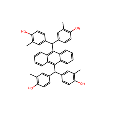 Cc1cc(C(c2ccc(O)c(C)c2)c2c3ccccc3c(C(c3ccc(O)c(C)c3)c3ccc(O)c(C)c3)c3ccccc23)ccc1O